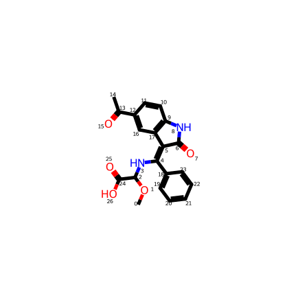 COC(NC(=C1C(=O)Nc2ccc(C(C)=O)cc21)c1ccccc1)C(=O)O